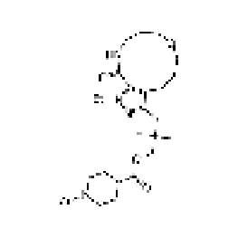 CCn1nc(CC(C)(C)COC(=O)C2CCN(C(C)=O)CC2)c2c1C(=O)NCCCOCCC2